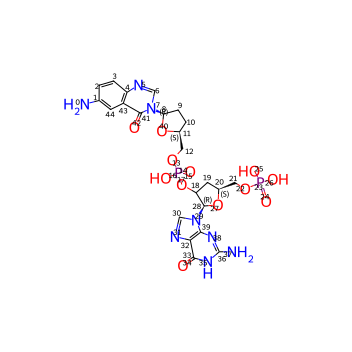 Nc1ccc2ncn([C@H]3CC[C@@H](COP(=O)(O)OC4C[C@@H](COP(=O)(O)O)O[C@H]4n4cnc5c(=O)[nH]c(N)nc54)O3)c(=O)c2c1